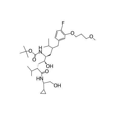 COCCCOc1cc(CC(C[C@H](NC(=O)OC(C)(C)C)[C@@H](O)C[C@H](C(=O)NC(CO)C2CC2)C(C)C)C(C)C)ccc1F